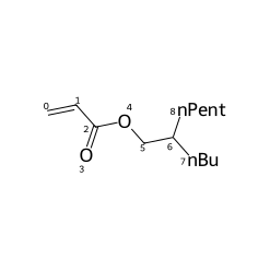 C=CC(=O)OCC(CCCC)CCCCC